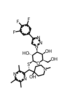 Cc1nc(C)c([C@H](S[C@@H]2O[C@H](CO)[C@H](O)[C@H](n3cc(-c4cc(F)c(F)c(F)c4)nn3)[C@H]2O)C2(O)CCN(C)CC2)nc1C